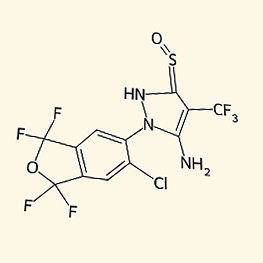 Nc1c(C(F)(F)F)c(=S=O)[nH]n1-c1cc2c(cc1Cl)C(F)(F)OC2(F)F